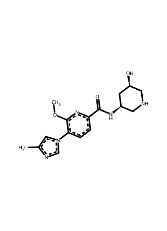 COc1nc(C(=O)N[C@@H]2CNC[C@H](O)C2)ccc1-n1cnc(C)c1